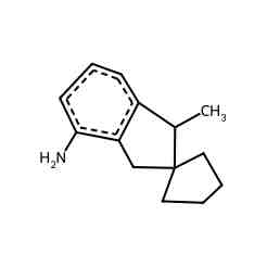 CC1c2cccc(N)c2CC12CCCC2